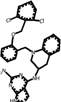 Nc1nc(NC2Cc3ccccc3N(Cc3ccccc3OCc3c(Cl)cccc3Cl)C2)c2cn[nH]c2n1